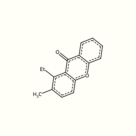 CCc1c(C)ccc2oc3ccccc3c(=O)c12